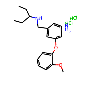 CCC(CC)NCc1cccc(Oc2ccccc2OC)c1.Cl.Cl.N